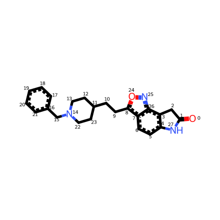 O=C1Cc2c(ccc3c(CCC4CCN(Cc5ccccc5)CC4)onc23)N1